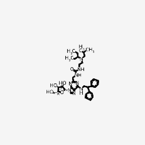 CCC(CC)N(CCNC(=O)NCc1nc(NCC(c2ccccc2)c2ccccc2)c2ncn([C@@H]3O[C@H](CO)[C@@H](O)[C@H]3O)c2n1)CC(C)C